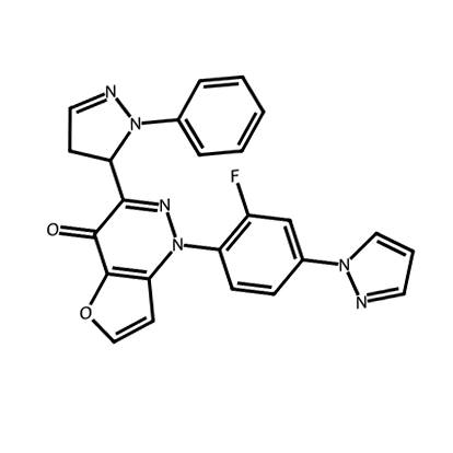 O=c1c(C2CC=NN2c2ccccc2)nn(-c2ccc(-n3cccn3)cc2F)c2ccoc12